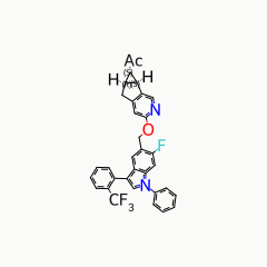 CC(=O)[C@H]1[C@@H]2Cc3cc(OCc4cc5c(-c6ccccc6C(F)(F)F)cn(-c6ccccc6)c5cc4F)ncc3[C@@H]21